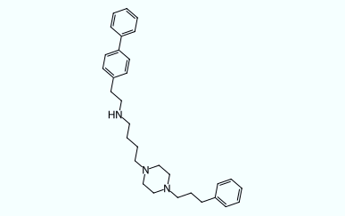 c1ccc(CCCN2CCN(CCCCNCCc3ccc(-c4ccccc4)cc3)CC2)cc1